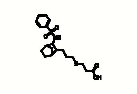 O=C(O)CCSCCCC1C2CCC(C2)C1NS(=O)(=O)c1ccccc1